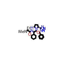 CC[C@H](NC)C(=O)N[C@H](C(=O)N1CCC[C@H]1c1nnnn1Cc1ccccc1)C1CCCCC1